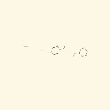 CCCCCCCOc1ccc(C(=O)COC(=O)c2ccc(Br)cc2)cc1